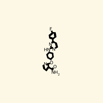 NC(=O)c1cccnc1O[C@H]1CC[C@H](Nc2nccc(-c3ccc(F)cc3)n2)CC1